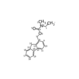 [CH2]CN(C)C(=O)OCc1cccc2c1Cc1ccccc1-2